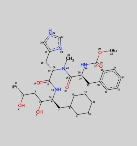 CC(C)C(O)CC(O)[C@H](CC1CCCCC1)NC(=O)[C@H](Cc1c[nH]cn1)N(C)C(=O)[C@H](Cc1ccccc1)NC(=O)OC(C)(C)C